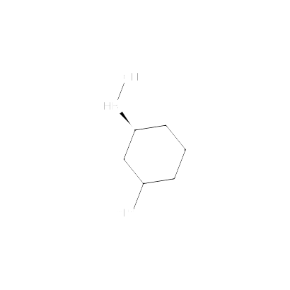 CB[C@H]1CCCC(CCC)C1